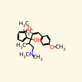 COc1ccc(C=C(C)C(O)(c2ccccc2OC)C(C)CN(C)C)cc1